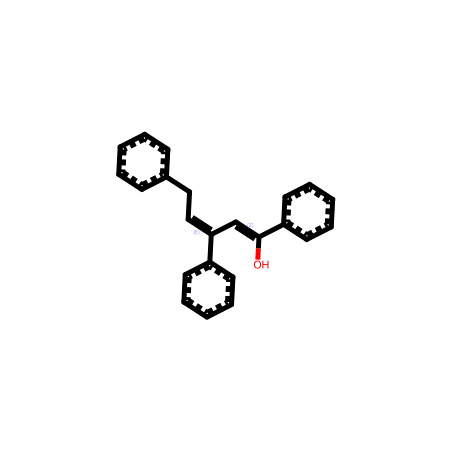 O/C(=C\C(=C/Cc1ccccc1)c1ccccc1)c1ccccc1